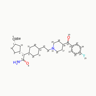 CO[C@H]1CC[C@@H](C(C(N)=O)C2CCC(CCN3CCC(C(=O)c4ccc(F)cc4)CC3)CC2)C1